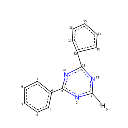 [2H]c1nc(-c2ccccc2)nc(-c2ccccc2)n1